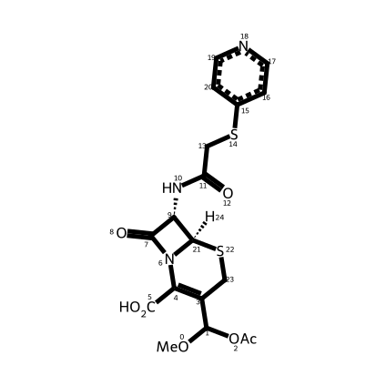 COC(OC(C)=O)C1=C(C(=O)O)N2C(=O)[C@H](NC(=O)CSc3ccncc3)[C@H]2SC1